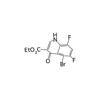 CCOC(=O)c1c[nH]c2c(F)cc(F)c(Br)c2c1=O